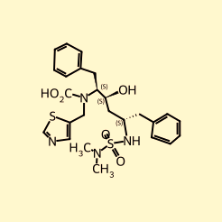 CN(C)S(=O)(=O)N[C@@H](Cc1ccccc1)C[C@H](O)[C@H](Cc1ccccc1)N(Cc1cncs1)C(=O)O